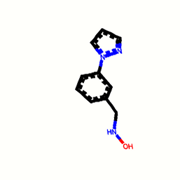 ONCc1cccc(-n2cccn2)c1